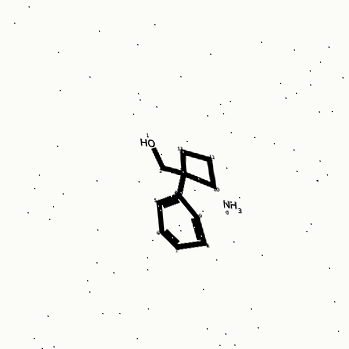 N.OCC1(c2ccccc2)CCC1